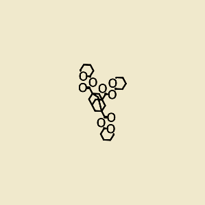 O=C(OC1CCCCO1)C12CC3CC(C(=O)OC4CCCCO4)(C1)CC(C(=O)OC1CCCCO1)(C3)C2